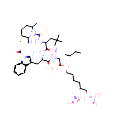 CCCC[C@@H](NC(=O)C(Cc1cn(C(=O)OC)c2ccccc12)NC(=O)C(CC(C)(C)C)NC(=O)N1C(C)CCCC1C)C(=O)OCCCCC(CO[N+](=O)[O-])O[N+](=O)[O-]